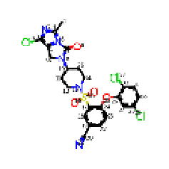 Cc1nc(Cl)c2n1C(=O)N(C1CCN(S(=O)(=O)c3cc(C#N)ccc3Oc3cc(Cl)ccc3Cl)CC1)C2